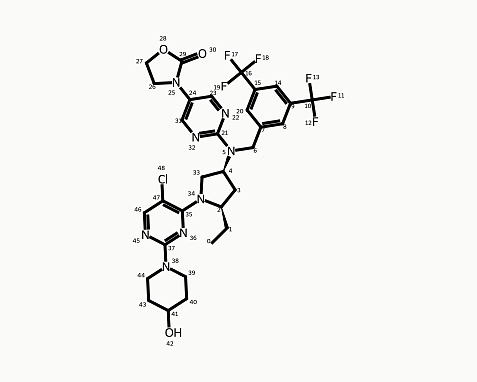 CC[C@@H]1C[C@H](N(Cc2cc(C(F)(F)F)cc(C(F)(F)F)c2)c2ncc(N3CCOC3=O)cn2)CN1c1nc(N2CCC(O)CC2)ncc1Cl